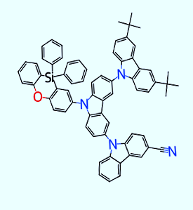 CC(C)(C)c1ccc2c(c1)c1cc(C(C)(C)C)ccc1n2-c1ccc2c(c1)c1cc(-n3c4ccccc4c4cc(C#N)ccc43)ccc1n2-c1ccc2c(c1)[Si](c1ccccc1)(c1ccccc1)c1ccccc1O2